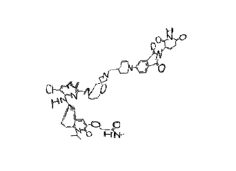 CNC(=O)COc1cc2cc(Nc3nc(N4CCOC5(CN(CC6CCN(c7ccc8c(c7)C(=O)N(C7CCC(=O)NC7=O)C8=O)CC6)C5)C4)ncc3Cl)ccc2n(C(C)C)c1=O